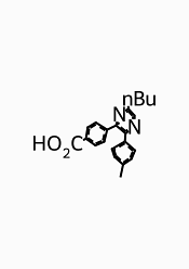 CCCCc1cnc(-c2ccc(C)cc2)c(-c2ccc(C(=O)O)cc2)n1